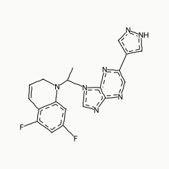 CC(N1CC=Cc2c(F)cc(F)cc21)n1cnc2ncc(-c3cn[nH]c3)nc21